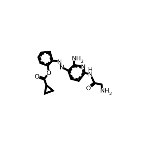 NCC(=O)Nc1ccc(N=Nc2ccccc2OC(=O)C2CC2)c(N)n1